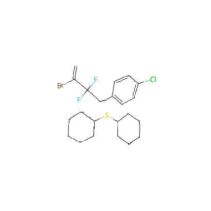 C1CCC(SC2CCCCC2)CC1.C=C(Br)C(F)(F)Cc1ccc(Cl)cc1